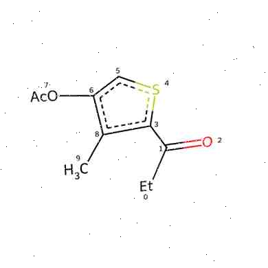 CCC(=O)c1scc(OC(C)=O)c1C